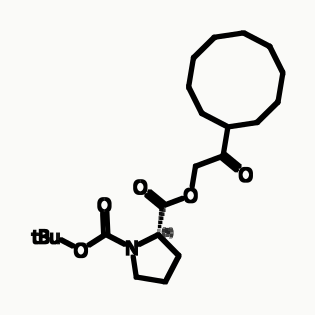 CC(C)(C)OC(=O)N1CCC[C@H]1C(=O)OCC(=O)C1CCCCCCCCC1